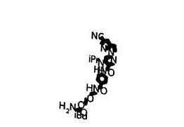 CC[C@H](C)[C@H](N)C(=O)OCCOCCNC(=O)C1CCC(NC(=O)c2cnc(-n3ccc4cc(C#N)cnc43)cc2NC(C)C)CC1